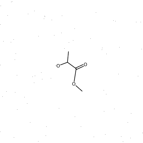 COC(=O)C(C)[O]